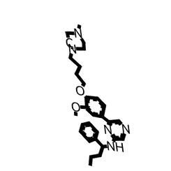 CCCC(Nc1cncc(-c2ccc(OCCCCN3CCN(C)CC3)c(OC)c2)n1)c1ccccc1